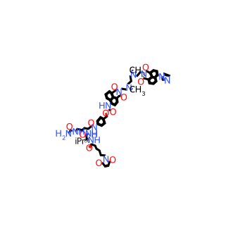 CC(C)[C@H](NC(=O)CCCCCN1C(=O)C=CC1=O)C(=O)NC(CCCNC(N)=O)C(=O)Nc1ccc(COC(=O)Nc2ccc3c4c(cccc24)C(=O)N(CCN(C)CCCN(C)CCN2C(=O)c4cccc5c(-n6ccnc6)ccc(c45)C2=O)C3=O)cc1